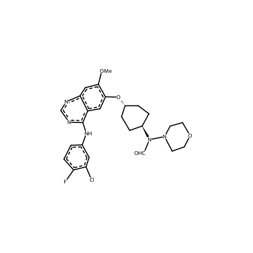 COc1cc2ncnc(Nc3ccc(F)c(Cl)c3)c2cc1O[C@H]1CC[C@H](N(C=O)N2CCOCC2)CC1